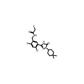 CC1(C)CCC(n2nc(-c3cc(CNC(=O)CF)c(F)cc3Cl)[nH]c2=O)CC1